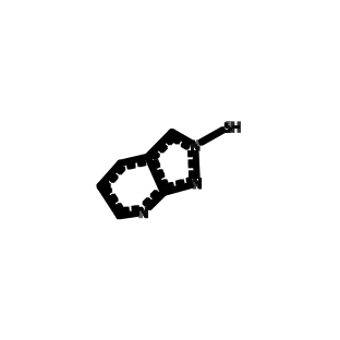 Sn1cc2cccnc2n1